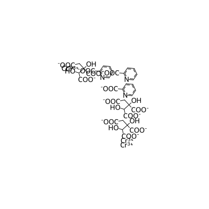 O=C([O-])CC(O)(C(=O)[O-])C(O)C(=O)[O-].O=C([O-])CC(O)(C(=O)[O-])C(O)C(=O)[O-].O=C([O-])CC(O)(C(=O)[O-])C(O)C(=O)[O-].O=C([O-])c1ccccn1.O=C([O-])c1ccccn1.O=C([O-])c1ccccn1.[Cr+3].[Cr+3].[Cr+3].[Cr+3]